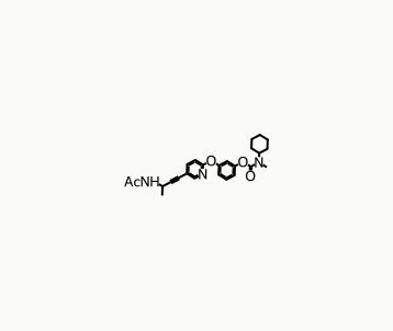 CC(=O)NC(C)C#Cc1ccc(Oc2cccc(OC(=O)N(C)C3CCCCC3)c2)nc1